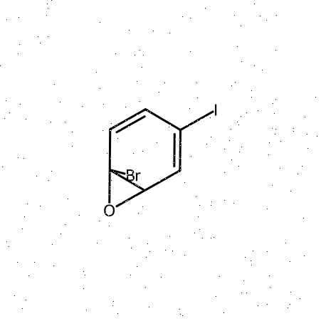 BrC12C=CC(I)=CC1O2